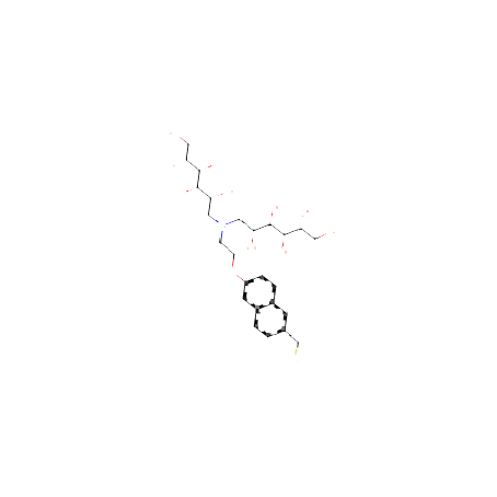 OC[C@@H](O)[C@@H](O)[C@H](O)[C@@H](O)CN(CCOc1ccc2cc(CS)ccc2c1)C[C@H](O)[C@@H](O)[C@H](O)[C@H](O)CO